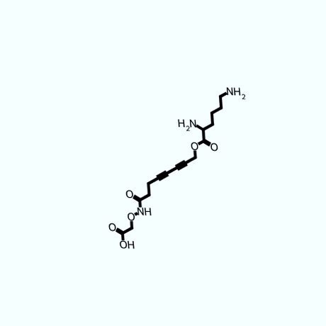 NCCCCC(N)C(=O)OCC#CC#CCCC(=O)NOCC(=O)O